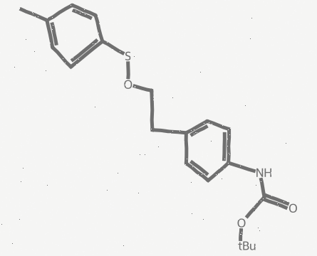 Cc1ccc(SOCCc2ccc(NC(=O)OC(C)(C)C)cc2)cc1